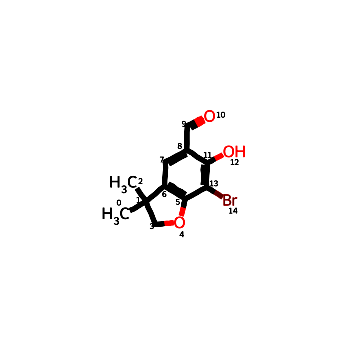 CC1(C)COc2c1cc(C=O)c(O)c2Br